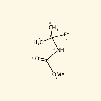 CCC(C)(C)NC(=O)OC